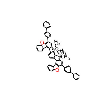 C[Si]1(C)c2cc(-c3ccc(-c4ccccc4)cc3)c3oc4ccccc4c3c2-c2ccc3c(c21)[Si](C)(C)c1cc(-c2ccc(-c4ccccc4)cc2)c2oc4ccccc4c2c1-3